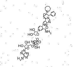 NC(=O)C1=CN([C@@H]2O[C@H](COP(=O)(O)OP(=O)(O)OC[C@H]3O[C@@H](n4cnc5c(N)ncnc54)[C@H](O)[C@@H]3O)[C@@H](O)[C@H]2O)C=C[C@@H]1n1cc2c(=S)n([C@H](C(=O)N3CCCCCC3)c3ccccc3)cnc2n1